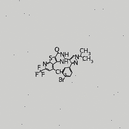 Cc1cc(C(F)(F)F)nc2sc3c(c12)NC(c1cn(C(C)C)nc1-c1ccc(Br)cc1)NC3=O